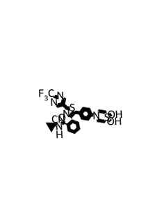 N#CC1(NC(=O)[C@@H]2CCCC[C@H]2c2nc(-c3cnc(C(F)(F)F)nc3)sc2-c2ccc(N3CCS(O)(O)CC3)cc2)CC1